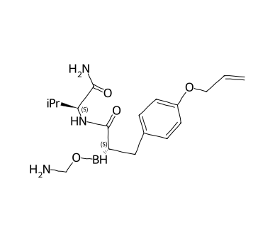 C=CCOc1ccc(C[C@H](BOCN)C(=O)N[C@H](C(N)=O)C(C)C)cc1